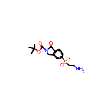 CC(C)(C)OC(=O)N1Cc2cc(S(=O)(=O)CCN)ccc2C1=O